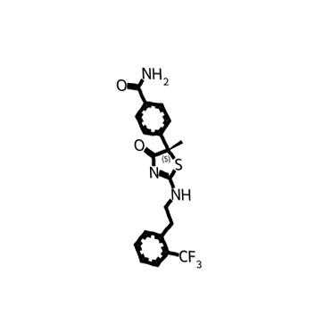 C[C@@]1(c2ccc(C(N)=O)cc2)SC(NCCc2ccccc2C(F)(F)F)=NC1=O